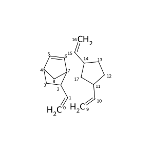 C=CC1CC2C=CC1C2.C=CC1CCC(C=C)C1